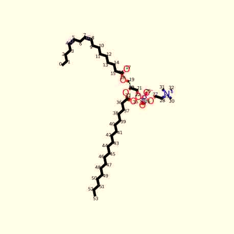 CCCC/C=C\C/C=C\CCCCCCCC(=O)OC[C@H](COP(=O)([O-])OCC[N+](C)(C)C)OC(=O)CCCCCCCCCCCCCCCCCC